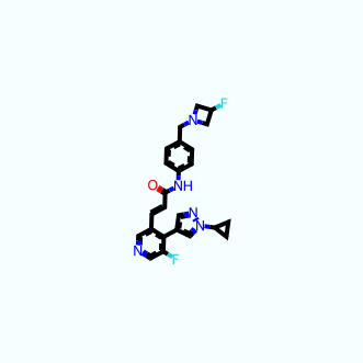 O=C(C=Cc1cncc(F)c1-c1cnn(C2CC2)c1)Nc1ccc(CN2CC(F)C2)cc1